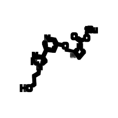 CC(C)(C)OC(=O)N1CC[C@H]1COc1cncc(-c2cn(CCCO)nn2)c1